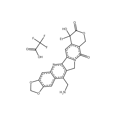 CCC1(O)C(=O)OCc2c1cc1n(c2=O)Cc2c-1nc1cc3c(cc1c2CN)OCO3.O=C(O)C(F)(F)F